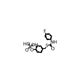 O=C(Nc1ccc(F)cc1)SCc1ccc(OP(=O)(O)O)cc1